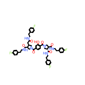 O=C(CC1CN(C(=O)c2ccc(C(=O)N3CC(C(=O)NCCc4ccc(F)cc4)[C@H](C(=O)NCCc4ccc(F)cc4)C3)c(O)c2)CC1C(=O)NCCc1ccc(F)cc1)NCCc1ccc(F)cc1